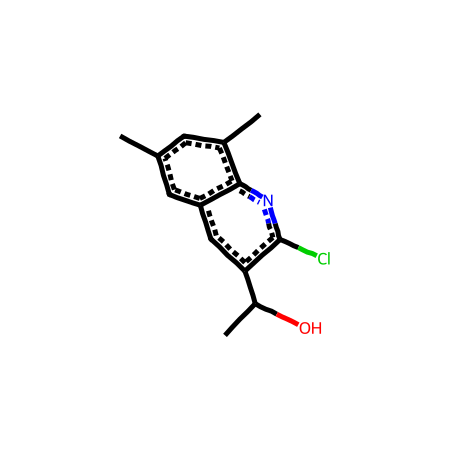 Cc1cc(C)c2nc(Cl)c(C(C)O)cc2c1